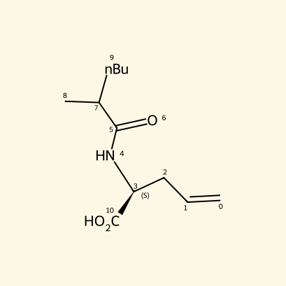 C=CC[C@H](NC(=O)C(C)CCCC)C(=O)O